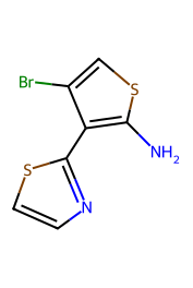 Nc1scc(Br)c1-c1nccs1